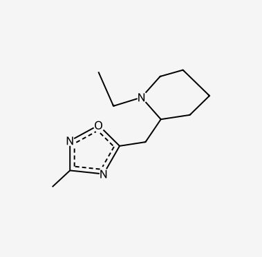 CCN1CCCCC1Cc1nc(C)no1